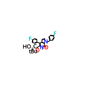 Cn1c(C(OC(C)(C)C)C(=O)O)c(-c2ccc(F)cc2)c2ccn(Cc3ccc(F)cc3)c2c1=O